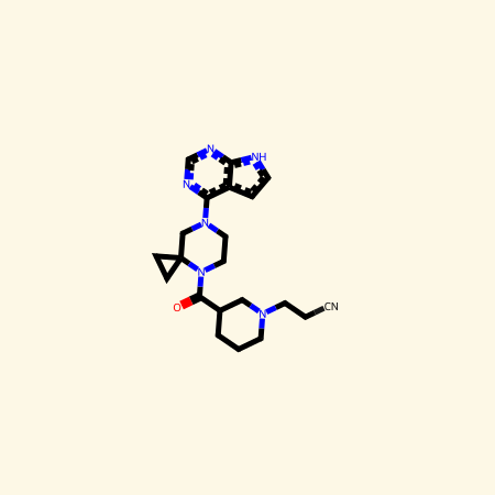 N#CCCN1CCCC(C(=O)N2CCN(c3ncnc4[nH]ccc34)CC23CC3)C1